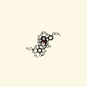 COc1ccc2[nH]c3c(c2c1)CCN[C@@]31CS[C@@H]2c3c(OC(C)=O)c(C)c4c(c3[C@H](COC1=O)N1[C@@H]2[C@H]2c3c(cc(C)c(OC)c3O)CC1(O)CN2C)OCO4